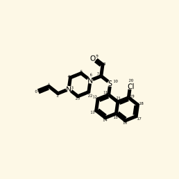 C=CCN1CCN(C(C=O)Sc2cccc3cccc(Cl)c23)CC1